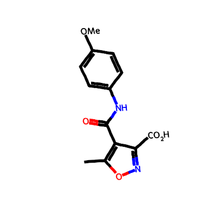 COc1ccc(NC(=O)c2c(C(=O)O)noc2C)cc1